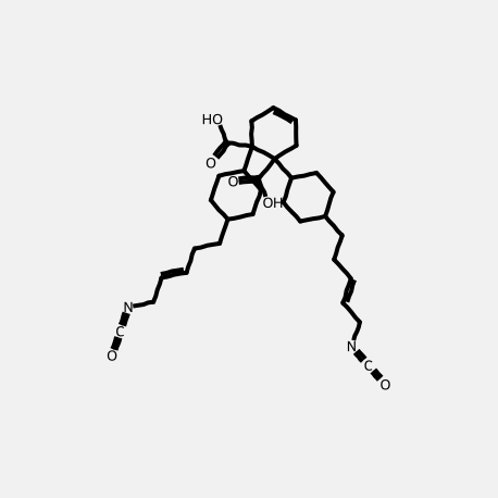 O=C=NCC=CCCC1CCC(C2(C(=O)O)CC=CCC2(C(=O)O)C2CCC(CCC=CCN=C=O)CC2)CC1